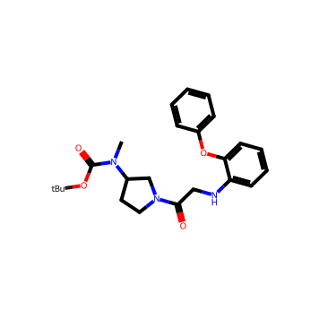 CN(C(=O)OC(C)(C)C)C1CCN(C(=O)CNc2ccccc2Oc2ccccc2)C1